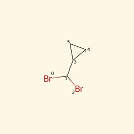 BrC(Br)C1[CH]C1